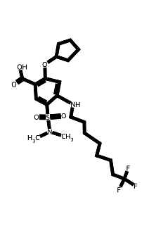 CN(C)S(=O)(=O)c1cc(C(=O)O)c(OC2CCCC2)cc1NCCCCCCCC(F)(F)F